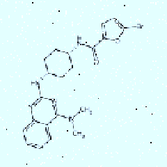 CN(C)c1nc(N[C@H]2CC[C@@H](NC(=O)c3ccc(Br)o3)CC2)nc2ccccc12